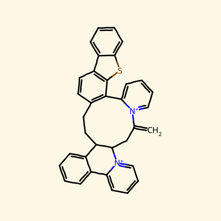 C=C1CC2C(CCc3ccc4c(sc5ccccc54)c3-c3cccc[n+]31)c1ccccc1-c1cccc[n+]12